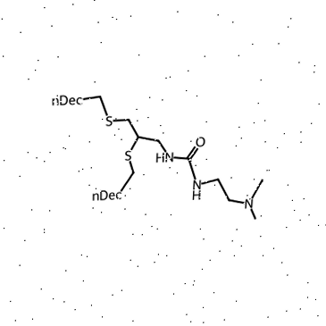 CCCCCCCCCCCSCC(CNC(=O)NCCN(C)C)SCCCCCCCCCCC